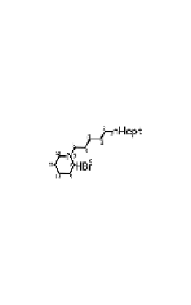 Br.CCCCCCCCCCCCN1CCCCC1